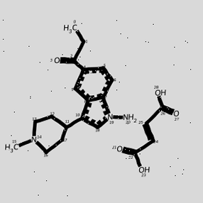 CCC(=O)c1ccc2c(c1)c(C1CCN(C)CC1)cn2N.O=C(O)C=CC(=O)O